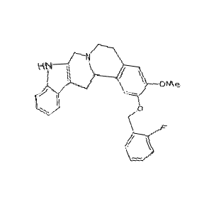 COc1cc2c(cc1OCc1ccccc1F)C1Cc3c([nH]c4ccccc34)CN1CC2